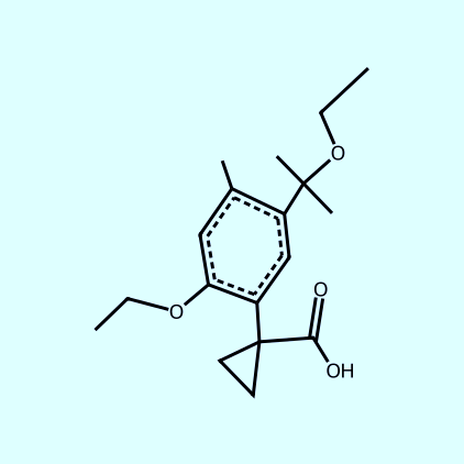 CCOc1cc(C)c(C(C)(C)OCC)cc1C1(C(=O)O)CC1